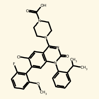 COc1cccc(F)c1-c1cc2c(cc1Cl)c(N1CCN(C(=O)O)CC1)nc(=O)n2-c1ccccc1C(C)C